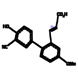 COc1ccc(-c2ccc(O)c(C#N)c2)c(/C=C/C(=O)O)c1